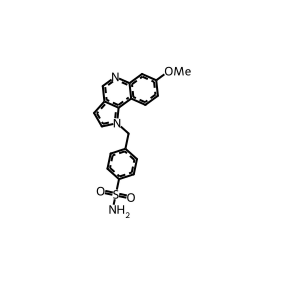 COc1ccc2c(c1)ncc1ccn(Cc3ccc(S(N)(=O)=O)cc3)c12